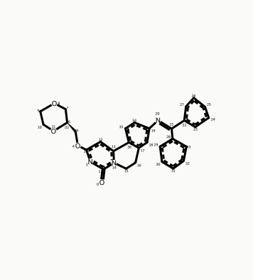 O=c1nc(OC[C@@H]2COCCO2)cc2n1CCc1cc(N=C(c3ccccc3)c3ccccc3)ccc1-2